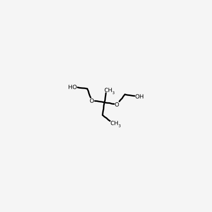 CCC(C)(OCO)OCO